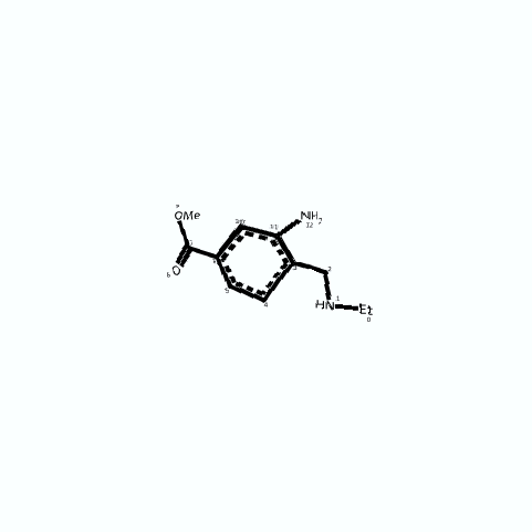 CCNCc1ccc(C(=O)OC)cc1N